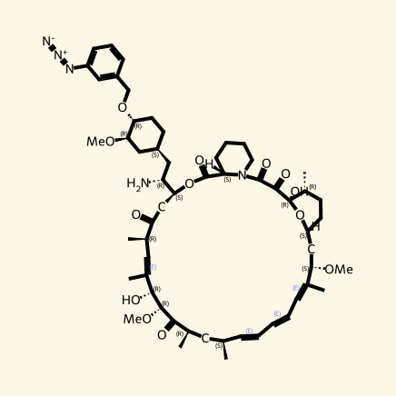 CO[C@H]1C[C@@H]2CC[C@@H](C)[C@@](O)(O2)C(=O)C(=O)N2CCCC[C@H]2C(=O)O[C@H]([C@H](N)C[C@@H]2CC[C@@H](OCc3cccc(N=[N+]=[N-])c3)[C@H](OC)C2)CC(=O)[C@H](C)/C=C(\C)[C@@H](O)[C@@H](OC)C(=O)[C@H](C)C[C@H](C)/C=C/C=C/C=C/1C